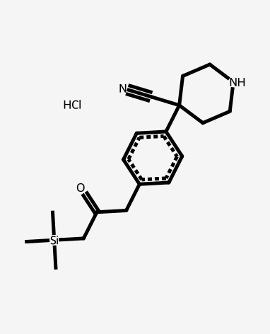 C[Si](C)(C)CC(=O)Cc1ccc(C2(C#N)CCNCC2)cc1.Cl